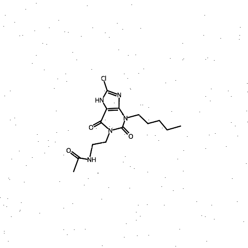 CCCCCn1c(=O)n(CCNC(C)=O)c(=O)c2[nH]c(Cl)nc21